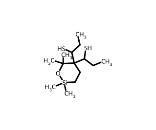 CCC(S)C1(C(S)CC)CC[Si](C)(C)OC1(C)C